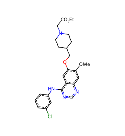 CCOC(=O)CN1CCC(COc2cc3c(Nc4cccc(Cl)c4)ncnc3cc2OC)CC1